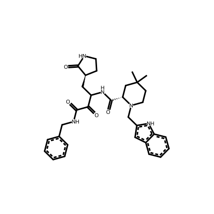 CC1(C)CCN(Cc2cc3ccccc3[nH]2)[C@H](C(=O)NC(C[C@@H]2CCNC2=O)C(=O)C(=O)NCc2ccccc2)C1